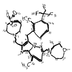 Cc1c(Cc2c(CN3CCS(=O)(=O)CC3)nc3c(C)cc(N4CCOCC4)nn23)cccc1C(F)(F)F